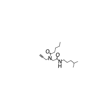 C#CCN(CC(=O)NCCCC(C)C)C(=O)CCCC